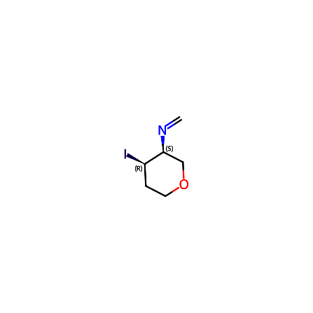 C=N[C@H]1COCC[C@H]1I